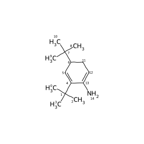 CC(C)(C)C1=CC(C(C)(C)C)CC=C1N